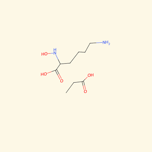 CCC(=O)O.NCCCCC(NO)C(=O)O